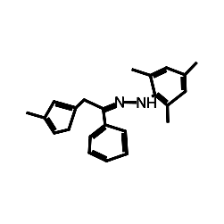 CC1=CCC(CC(=NNc2c(C)cc(C)cc2C)c2ccccc2)=C1